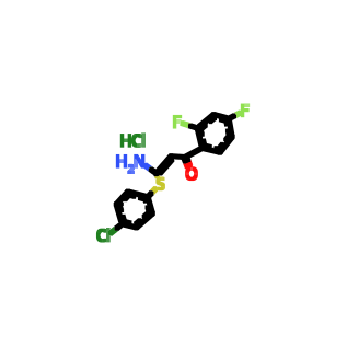 Cl.NC(=CC(=O)c1ccc(F)cc1F)Sc1ccc(Cl)cc1